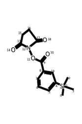 C[Si](C)(C)c1cccc(C(=O)ON2C(=O)CCC2=O)c1